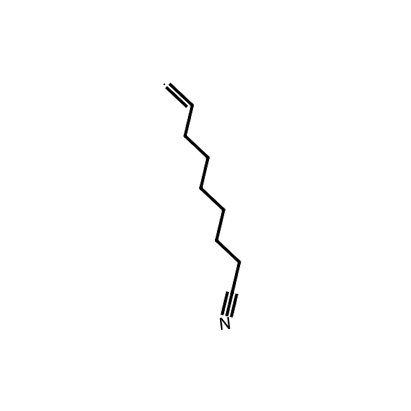 [CH]=CCCCCCCC#N